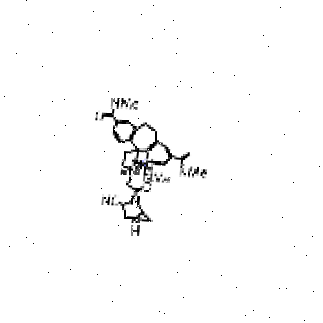 C=C(NC)c1ccc2c(c1)CCc1cc(C(=O)NC)ccc1C2(C[C@@H](C)NCC(=O)N1C(C#N)C[C@@H]2CC21)/C(N)=N/NC